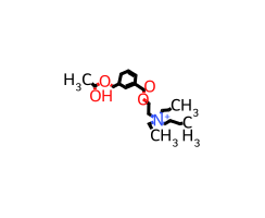 CCCC[N+](CC)(CCC)CCOC(=O)C1=CC(COC(C)O)CC=C1